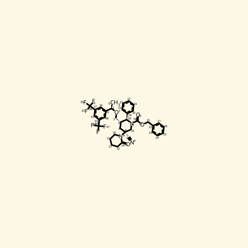 C[C@@H](OC[C@H]1C[C@](C#N)(N2CCCCC2=O)CN(C(=O)OCc2ccccc2)[C@@H]1c1ccccc1)c1cc(C(F)(F)F)cc(C(F)(F)F)c1